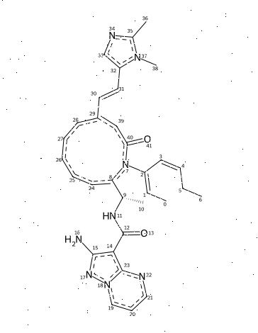 C/C=C(\C=C/CC)n1c([C@H](C)NC(=O)c2c(N)nn3cccnc23)cccccc(/C=C/c2cnc(C)n2C)cc1=O